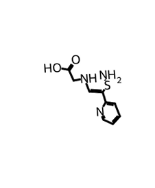 NS/C(=C\NCC(=O)O)c1ccccn1